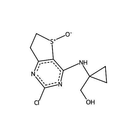 [O-][S+]1CCc2nc(Cl)nc(NC3(CO)CC3)c21